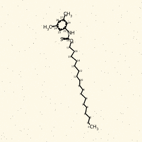 CCCCCCCCCCCCCCCCCCOC(=S)Nc1cc(C)cc(C)c1